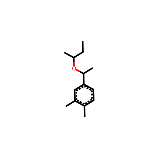 CCC(C)OC(C)c1ccc(C)c(C)c1